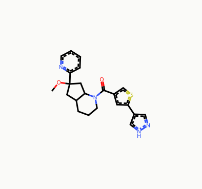 COC1(c2ccccn2)CC2CCCN(C(=O)c3csc(-c4cn[nH]c4)c3)C2C1